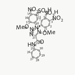 COc1cc([N+](=O)[O-])c(S(=O)(=O)O)cc1[N+]1(c2cc(S(=O)(=O)O)c([N+](=O)[O-])cc2OC)N=NC(C(=O)Nc2ccccc2)=N1